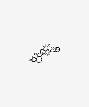 CCOC(=O)C(Cc1ccccc1)(C(=O)OCC)N1C(=O)C(C)(C)c2cc3[nH]c4c(c3cc21)CCCc1c[nH]nc1-4